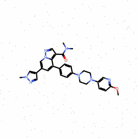 COc1ccc(N2CCN(c3ccc(-c4cc(-c5cnn(C)c5)cn5ncc(C(=O)N(C)C)c45)cc3)CC2)cn1